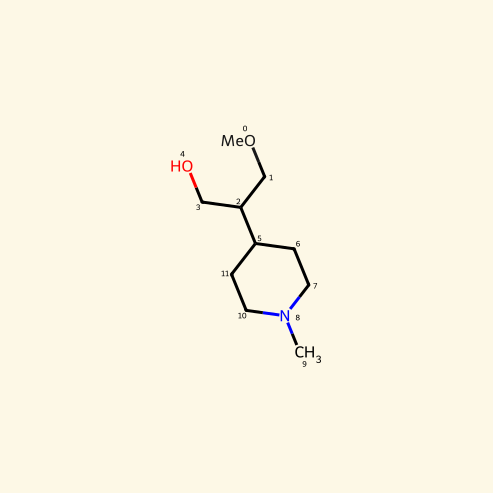 COCC(CO)C1CCN(C)CC1